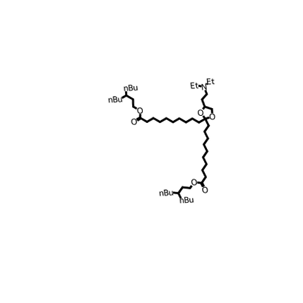 CCCCC(CCCC)CCOC(=O)CCCCCCCCCC1(CCCCCCCCCC(=O)OCCC(CCCC)CCCC)OCC(CCN(CC)CC)O1